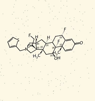 C[C@]12C=CC(=O)C=C1[C@@H](F)CC1[C@@H]3C[C@H]4CN(Cc5cccs5)C[C@@]4(C(=O)CF)[C@@]3(C)C[C@H](O)[C@@]12F